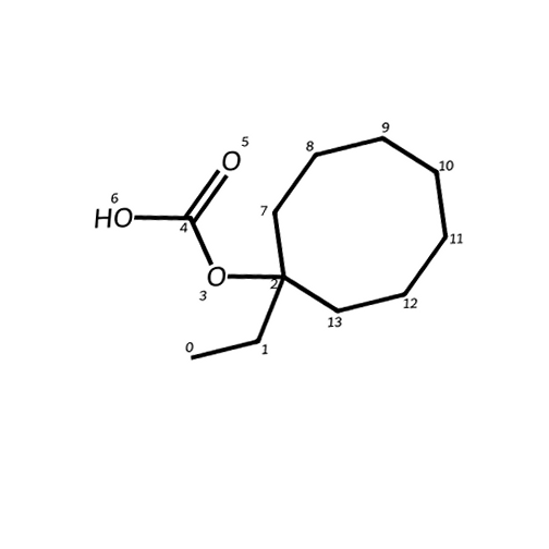 CCC1(OC(=O)O)CCCCCCC1